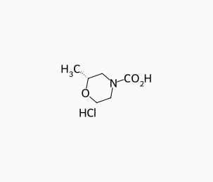 C[C@@H]1CN(C(=O)O)CCO1.Cl